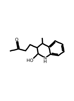 CC(=O)CCC1C(O)Nc2ccccc2C1C